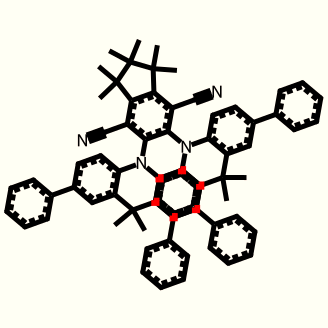 CC1(C)c2cc(-c3ccccc3)ccc2N(c2c(C#N)c3c(c(C#N)c2N2c4ccc(-c5ccccc5)cc4C(C)(C)c4cc(-c5ccccc5)ccc42)C(C)(C)C(C)(C)C3(C)C)c2ccc(-c3ccccc3)cc21